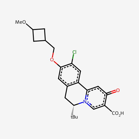 COC1CC(COc2cc3c(cc2Cl)-c2cc(=O)c(C(=O)O)cn2[C@H](C(C)(C)C)C3)C1